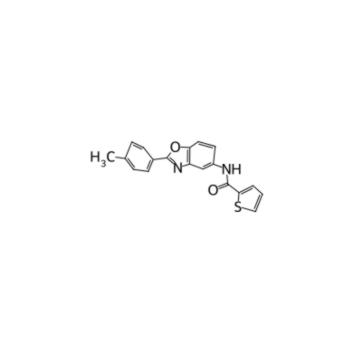 Cc1ccc(-c2nc3cc(NC(=O)c4cccs4)ccc3o2)cc1